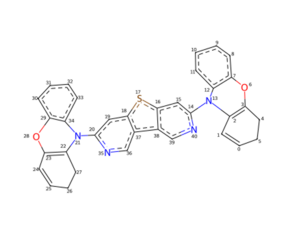 C1=CC2=C(CC1)Oc1ccccc1N2c1cc2sc3cc(N4C5=C(C=CCC5)Oc5ccccc54)ncc3c2cn1